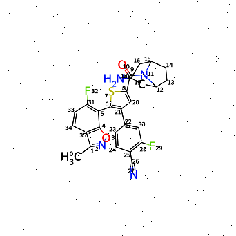 Cc1noc2c(-c3sc(C(=O)N4C5CCC4CC(N)C5)cc3-c3ccc(C#N)c(F)c3)c(F)ccc12